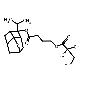 CCC(C)(C)C(=O)OCCCC(=O)OC1(C(C)C)C2CC3CC(C2)CC1C3